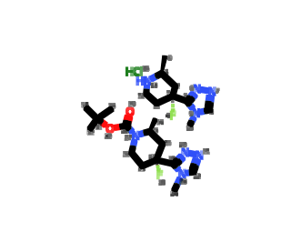 C[C@H]1C[C@@](F)(c2nncn2C)CCN1.C[C@H]1C[C@@](F)(c2nncn2C)CCN1C(=O)OC(C)(C)C.Cl